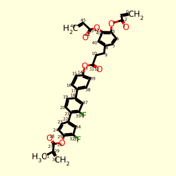 C=CC(=O)Oc1ccc(CCC(=O)Oc2ccc(-c3ccc(-c4ccc(OC(=O)C(=C)C)c(F)c4)c(F)c3)cc2)cc1OC(=O)C=C